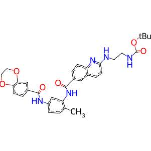 Cc1ccc(NC(=O)c2ccc3c(c2)OCCO3)cc1NC(=O)c1ccc2nc(NCCNC(=O)OC(C)(C)C)ccc2c1